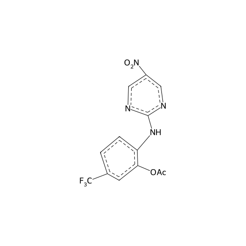 CC(=O)Oc1cc(C(F)(F)F)ccc1Nc1ncc([N+](=O)[O-])cn1